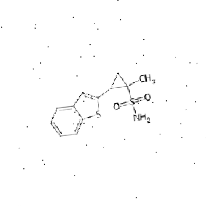 CC1(S(N)(=O)=O)CC1c1cc2ccccc2s1